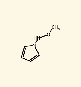 CONn1cccc1